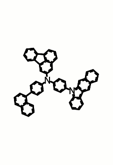 c1ccc2c(c1)-c1cccc3cc(N(c4ccc(-c5cccc6ccccc56)cc4)c4ccc(-n5c6ccccc6c6cc7ccccc7cc65)cc4)cc-2c13